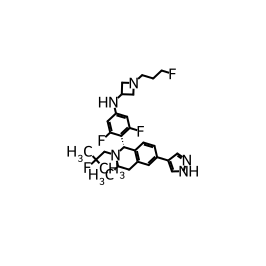 C[C@@H]1Cc2cc(-c3cn[nH]c3)ccc2[C@@H](c2c(F)cc(NC3CN(CCCF)C3)cc2F)N1CC(C)(C)F